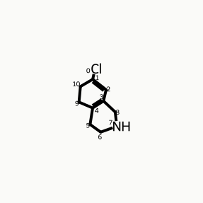 ClC1=CC2=C(CCNC2)CC1